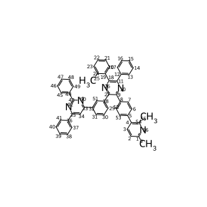 Cc1ccc(-c2ccc(-c3nc(-c4ccccc4)c(-c4ccccc4C)nc3-c3cccc(-c4cc(-c5ccccc5)nc(-c5ccccc5)n4)c3)cc2)c(C)n1